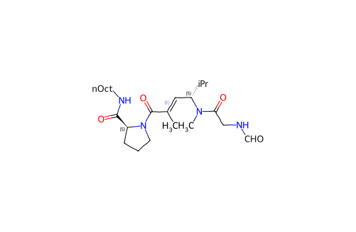 CCCCCCCCNC(=O)[C@@H]1CCCN1C(=O)/C(C)=C/[C@H](C(C)C)N(C)C(=O)CNC=O